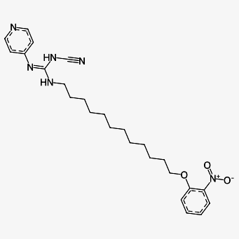 N#CN/C(=N\c1ccncc1)NCCCCCCCCCCCCOc1ccccc1[N+](=O)[O-]